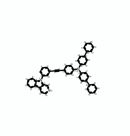 C(#Cc1cccc(-n2c3ccccc3c3ccncc32)c1)c1ccc(N(c2ccc(-c3ccccc3)cc2)c2ccc(-c3ccccc3)cc2)cc1